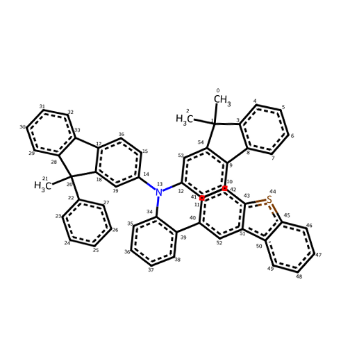 CC1(C)c2ccccc2-c2ccc(N(c3ccc4c(c3)C(C)(c3ccccc3)c3ccccc3-4)c3ccccc3-c3ccc4sc5ccccc5c4c3)cc21